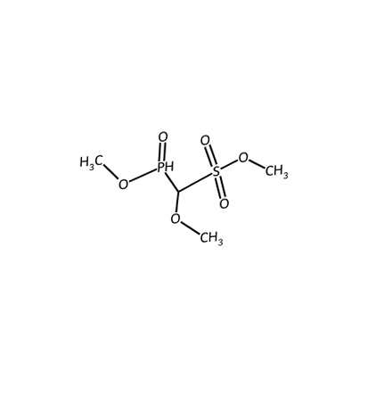 COC([PH](=O)OC)S(=O)(=O)OC